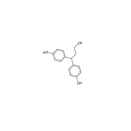 N#CCC[C](c1ccc(O)cc1)c1ccc(O)cc1